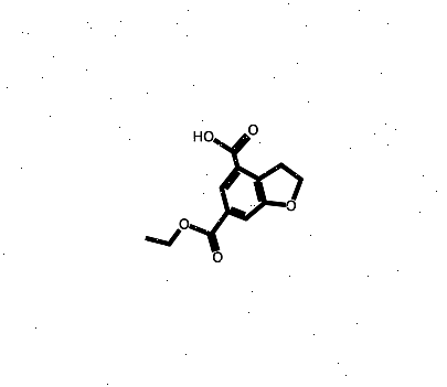 CCOC(=O)c1cc2c(c(C(=O)O)c1)CCO2